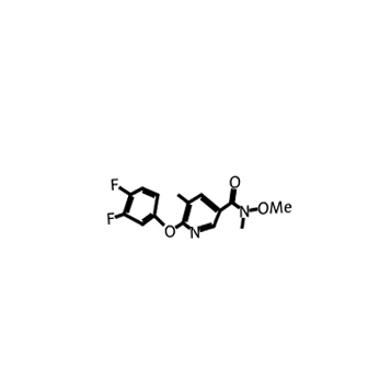 CON(C)C(=O)c1cnc(Oc2ccc(F)c(F)c2)c(C)c1